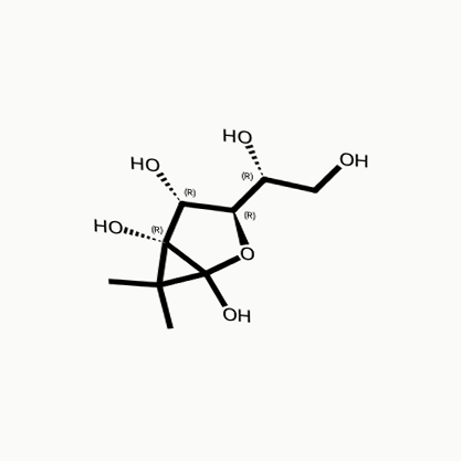 CC1(C)C2(O)O[C@H]([C@H](O)CO)[C@@H](O)[C@]12O